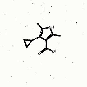 Cc1[nH]c(C)c(C2CC2)c1C(=O)O